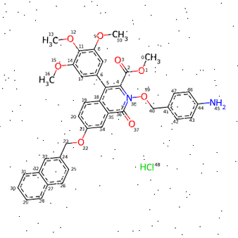 COC(=O)c1c(-c2cc(OC)c(OC)c(OC)c2)c2ccc(OCc3ccc4ccccc4c3)cc2c(=O)n1OCc1ccc(N)cc1.Cl